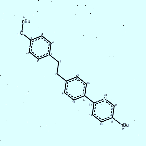 CCCCOc1ccc(CCc2ccc(-c3ccc(CCCC)cn3)cc2)cc1